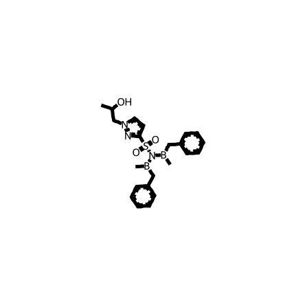 CB(Cc1ccccc1)N(B(C)Cc1ccccc1)S(=O)(=O)c1ccn(CC(C)O)n1